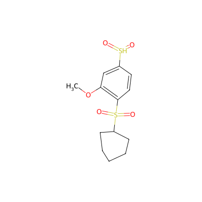 COc1cc([SH](=O)=O)ccc1S(=O)(=O)C1CCCCC1